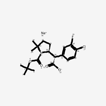 CC(C)(C)OC(=O)N1[C@H]([C@@H](C(=O)[O-])c2ccc(Cl)c(F)c2)CCC1(C)C.[Na+]